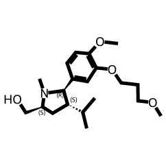 COCCCOc1cc([C@H]2[C@H](C(C)C)C[C@@H](CO)N2C)ccc1OC